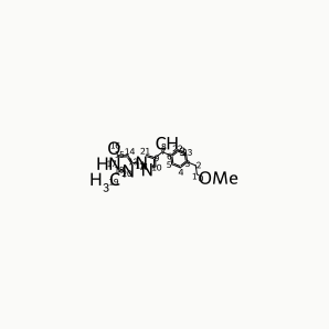 COCCc1ccc(C(C)c2cnn(-c3cc(=O)[nH]c(C)n3)c2)cc1